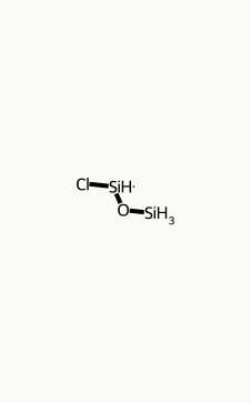 [SiH3]O[SiH]Cl